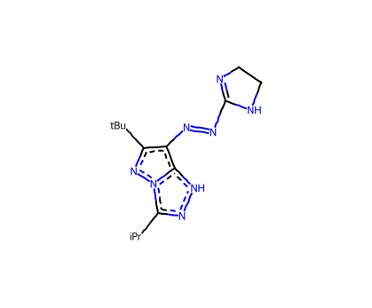 CC(C)c1n[nH]c2c(N=NC3=NCCN3)c(C(C)(C)C)nn12